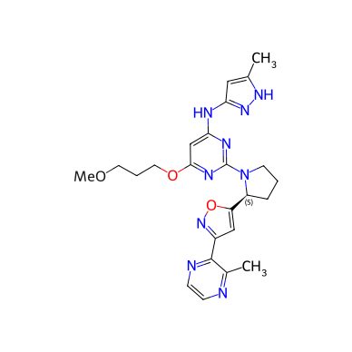 COCCCOc1cc(Nc2cc(C)[nH]n2)nc(N2CCC[C@H]2c2cc(-c3nccnc3C)no2)n1